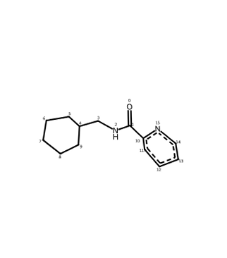 O=C(NCC1CCCCC1)c1[c]cccn1